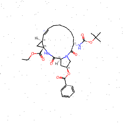 CCOC(=O)[C@@]12C[C@H]1/C=C\CCCCC[C@H](NC(=O)OC(C)(C)C)C(=O)N1C[C@@H](OC(=O)c3ccccc3)C[C@H]1C(=O)N2